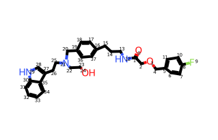 O=C(COCc1ccc(F)cc1)NCCCc1ccc(CN(CCO)CCc2c[nH]c3ccccc23)cc1